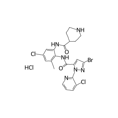 Cc1cc(Cl)cc(NC(=O)C2CCNCC2)c1NC(=O)c1cc(Br)nn1-c1ncccc1Cl.Cl